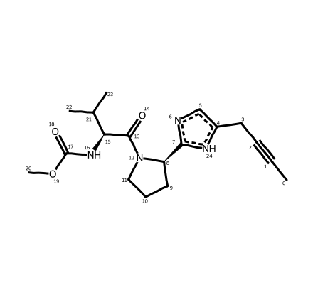 CC#CCc1cnc([C@H]2CCCN2C(=O)[C@@H](NC(=O)OC)C(C)C)[nH]1